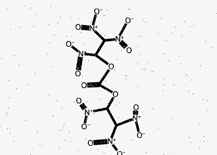 O=C(OC(C([N+](=O)[O-])[N+](=O)[O-])[N+](=O)[O-])OC(C([N+](=O)[O-])[N+](=O)[O-])[N+](=O)[O-]